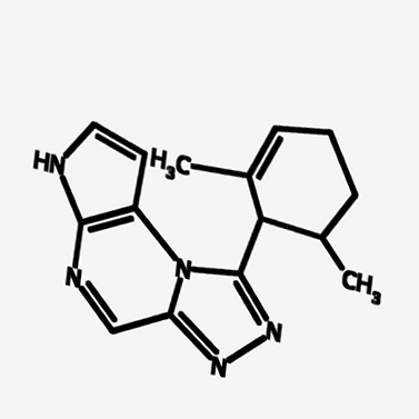 CC1=CCCC(C)C1c1nnc2cnc3[nH]ccc3n12